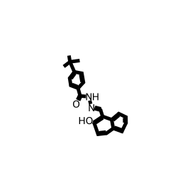 CC(C)(C)c1ccc(C(=O)NN=Cc2c(O)ccc3ccccc23)cc1